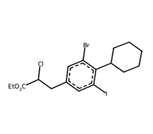 CCOC(=O)C(Cl)Cc1cc(Br)c(C2CCCCC2)c(I)c1